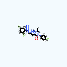 CC1CN(c2ccc(F)cc2)C(=O)c2cc(CNc3cc(F)ccc3F)nn21